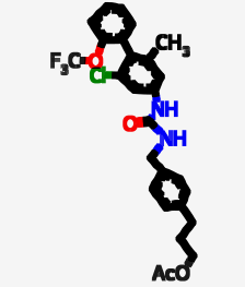 CC(=O)OCCCc1ccc(CNC(=O)Nc2cc(C)c(-c3ccccc3OC(F)(F)F)c(Cl)c2)cc1